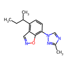 CCC(C)c1ccc(-n2cnc(C)n2)c2oncc12